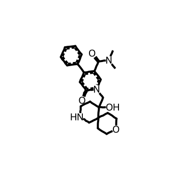 CN(C)C(=O)c1cn(CC2(O)CCNCC23CCOCC3)c(=O)cc1-c1ccccc1